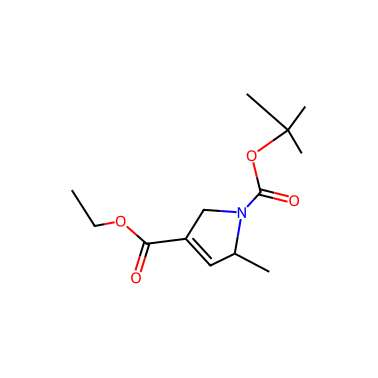 CCOC(=O)C1=CC(C)N(C(=O)OC(C)(C)C)C1